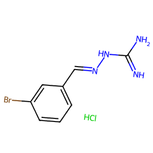 Cl.N=C(N)NN=Cc1cccc(Br)c1